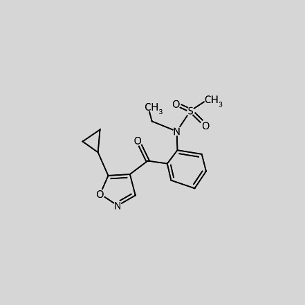 CCN(c1ccccc1C(=O)c1cnoc1C1CC1)S(C)(=O)=O